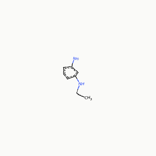 CCNc1cccc([NH])c1